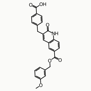 COc1cccc(COC(=O)c2ccc3[nH]c(=O)c(Cc4ccc(C(=O)O)cc4)cc3c2)c1